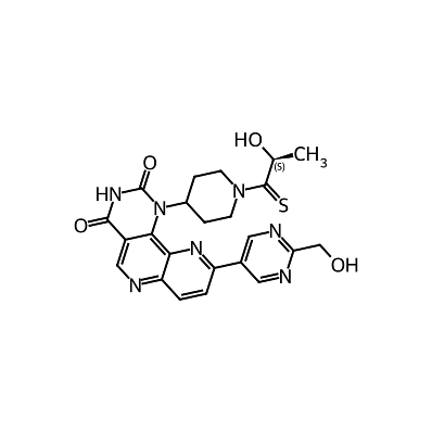 C[C@H](O)C(=S)N1CCC(n2c(=O)[nH]c(=O)c3cnc4ccc(-c5cnc(CO)nc5)nc4c32)CC1